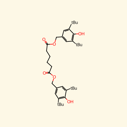 CC(C)(C)c1cc(COC(=O)CCCCC(=O)OCc2cc(C(C)(C)C)c(O)c(C(C)(C)C)c2)cc(C(C)(C)C)c1O